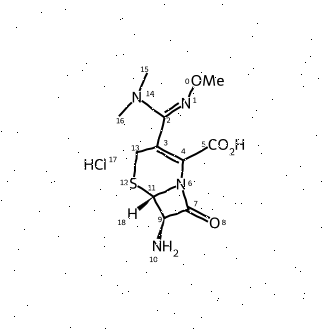 CON=C(C1=C(C(=O)O)N2C(=O)[C@@H](N)[C@@H]2SC1)N(C)C.Cl